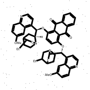 CCC1CN2CCC1CC2[C@H](Oc1ccc(O[C@H](c2ccnc3ccc(OC)cc23)[C@@H]2CC3CCN2CC3CC)c2c1C(=O)c1ccccc1C2=O)c1ccnc2ccc(OC)cc12